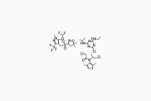 CCNc1nc(Cl)nc(NC(C)C)n1.COCC(C)N(C(=O)CCl)c1c(C)csc1C.Cn1nc(C(F)(F)F)c(CS(=O)(=O)C2=NOC(C)(C)C2)c1OC(F)F